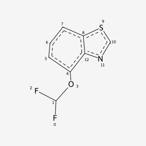 FC(F)Oc1cccc2s[c]nc12